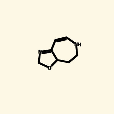 C1=CC2=NCOC2CCN1